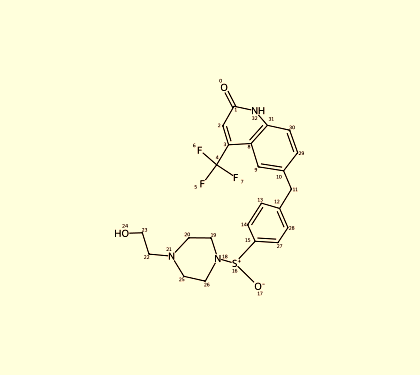 O=c1cc(C(F)(F)F)c2cc(Cc3ccc([S+]([O-])N4CCN(CCO)CC4)cc3)ccc2[nH]1